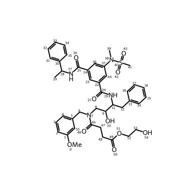 COc1cccc(CN(CC(O)C(Cc2ccccc2)NC(=O)c2cc(C(=O)NC(C)c3ccccc3)cc(N(C)S(C)(=O)=O)c2)C(=O)CCC(=O)OCCO)c1